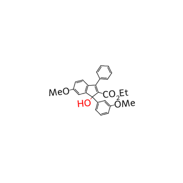 CCOC(=O)C1=C(c2ccccc2)c2ccc(OC)cc2C1(O)c1cccc(OC)c1